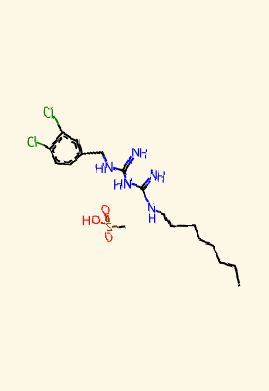 CCCCCCCCNC(=N)NC(=N)NCc1ccc(Cl)c(Cl)c1.CS(=O)(=O)O